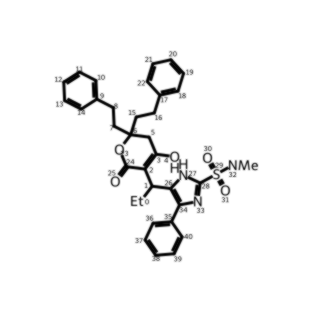 CCC(C1=C(O)CC(CCc2ccccc2)(CCc2ccccc2)OC1=O)c1[nH]c(S(=O)(=O)NC)nc1-c1ccccc1